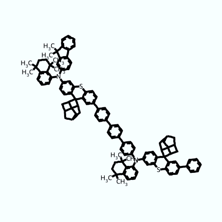 CC1(C)CCC(C)(C)c2c(N(c3ccc(-c4ccc(-c5ccc(-c6ccc7c(c6)C6(c8ccc(N(c9ccc%10c(c9)C(C)(C)c9ccccc9-%10)c9cccc%10c9C(C)(C)CCC%10(C)C)cc8S7)C7CC8CC9CC6C97C8)cc5)cc4)cc3)c3ccc4c(c3)Sc3ccc(-c5ccccc5)cc3C43C4CC5CC6CC3C64C5)cccc21